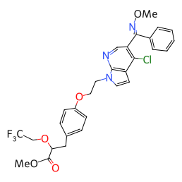 CON=C(c1ccccc1)c1cnc2c(ccn2CCOc2ccc(CC(OCC(F)(F)F)C(=O)OC)cc2)c1Cl